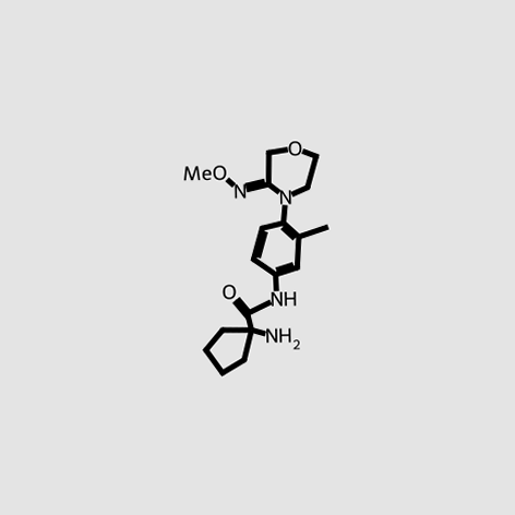 CON=C1COCCN1c1ccc(NC(=O)C2(N)CCCC2)cc1C